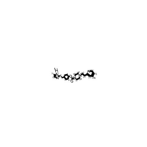 O=C(Oc1ccc(CSc2ncc[nH]2)cc1)N1CCN(CCc2ccccn2)CC1